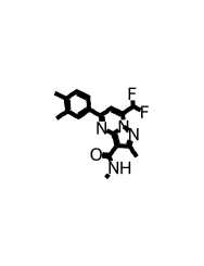 CNC(=O)c1c(C)nn2c(C(F)F)cc(-c3ccc(C)c(C)c3)nc12